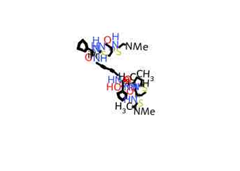 CNCC(=S)N[C@H]1CCSC(N[C@H](C(=O)NCC#CC#CCNC(=O)C(O)(NC(=O)[C@H]2N3C(=O)[C@@H](NC(=S)[C@H](C)NC)CCS[C@H]3CC2(C)C)c2ccccc2)c2ccccc2)(C(C)C)NC1=O